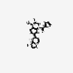 CC(=O)N1c2ccc(C3CCN4CCNC4N3)cc2N(C(=O)c2ccco2)C[C@@H]1C